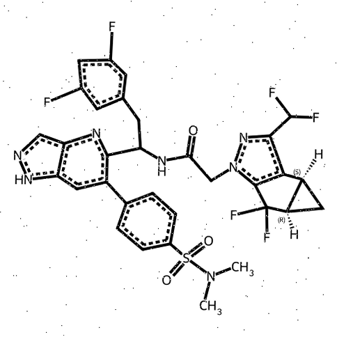 CN(C)S(=O)(=O)c1ccc(-c2cc3[nH]ncc3nc2C(Cc2cc(F)cc(F)c2)NC(=O)Cn2nc(C(F)F)c3c2C(F)(F)[C@@H]2C[C@H]32)cc1